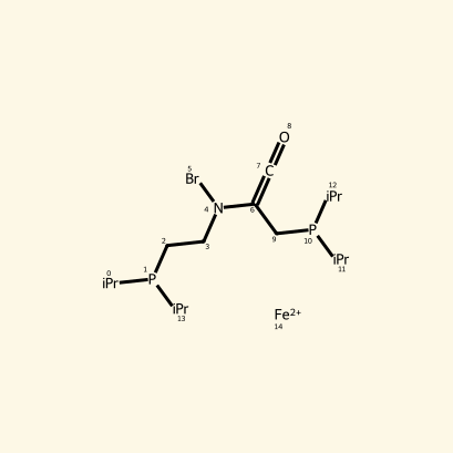 CC(C)P(CCN(Br)C(=C=O)CP(C(C)C)C(C)C)C(C)C.[Fe+2]